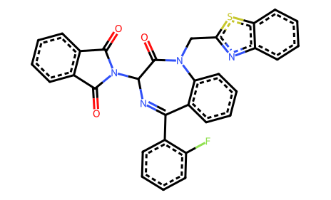 O=C1C(N2C(=O)c3ccccc3C2=O)N=C(c2ccccc2F)c2ccccc2N1Cc1nc2ccccc2s1